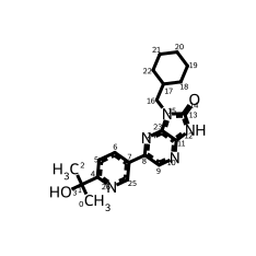 CC(C)(O)c1ccc(-c2cnc3[nH]c(=O)n(CC4CCCCC4)c3n2)cn1